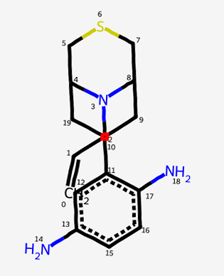 C=CCN1C2CSCC1CC(c1cc(N)ccc1N)C2